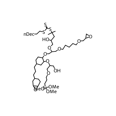 CCCCCCCCCCCCSC(=S)SC(C)(C)CC(O)COC(COCCCCCOCC1CO1)COC1CCC(CCCC2CCC3OC3C2)CC1OC(CO)COCCC[Si](OC)(OC)OC